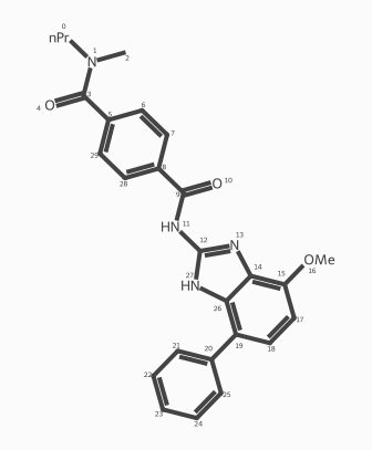 CCCN(C)C(=O)c1ccc(C(=O)Nc2nc3c(OC)ccc(-c4ccccc4)c3[nH]2)cc1